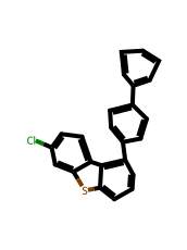 Clc1ccc2c(c1)sc1cccc(-c3ccc(-c4ccccc4)cc3)c12